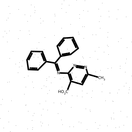 Cc1cc(C(=O)O)c(N=C(c2ccccc2)c2ccccc2)nn1